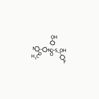 COc1cnccc1-c1ccc(N2C(=O)[C@H](SC[C@@H](O)c3ccc(F)cc3)[C@H]2c2ccc(O)cc2)cc1